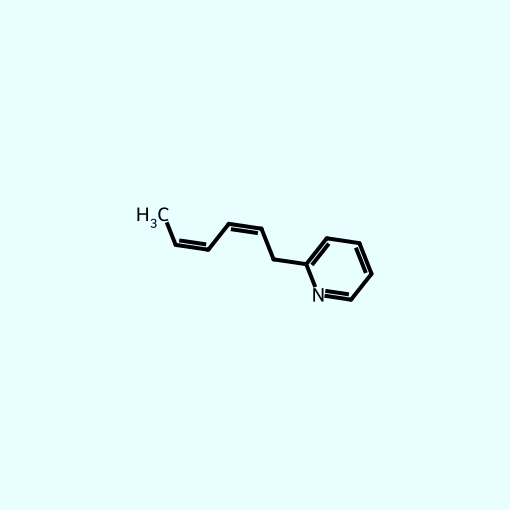 C/C=C\C=C/Cc1ccccn1